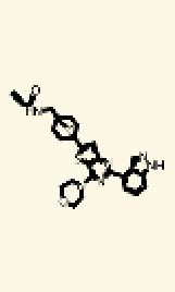 C=CC(=O)NCC12CCC(c3cc4nc(-c5cccc6[nH]ncc56)nc(N5CCOCC5)c4s3)(CC1)OC2